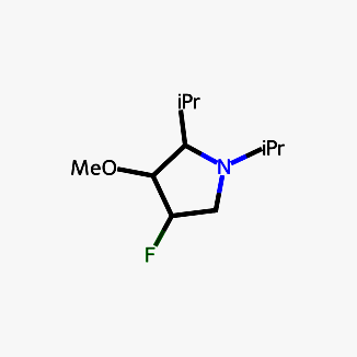 COC1C(F)CN(C(C)C)C1C(C)C